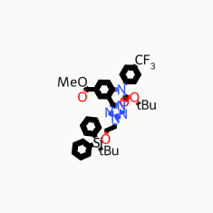 COC(=O)c1ccc(N(C(=O)OC(C)(C)C)c2ccc(C(F)(F)F)cc2)c(-c2nnn(CCO[Si](c3ccccc3)(c3ccccc3)C(C)(C)C)n2)c1